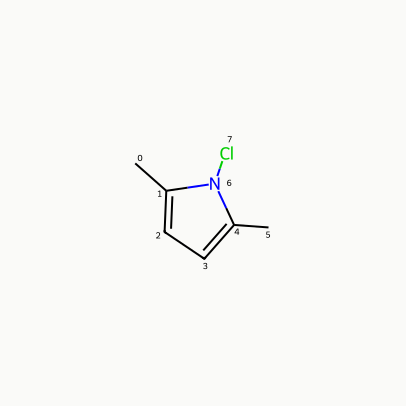 Cc1ccc(C)n1Cl